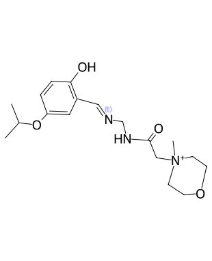 CC(C)Oc1ccc(O)c(/C=N/CNC(=O)C[N+]2(C)CCOCC2)c1